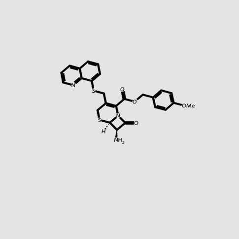 COc1ccc(COC(=O)C2=C(CSc3cccc4cccnc34)CS[C@@H]3[C@H](N)C(=O)N23)cc1